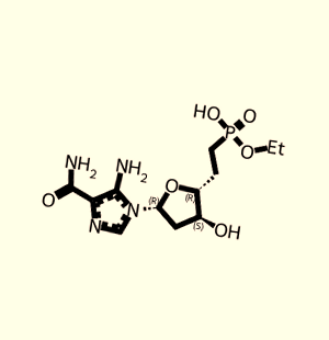 CCOP(=O)(O)CC[C@H]1O[C@@H](n2cnc(C(N)=O)c2N)C[C@@H]1O